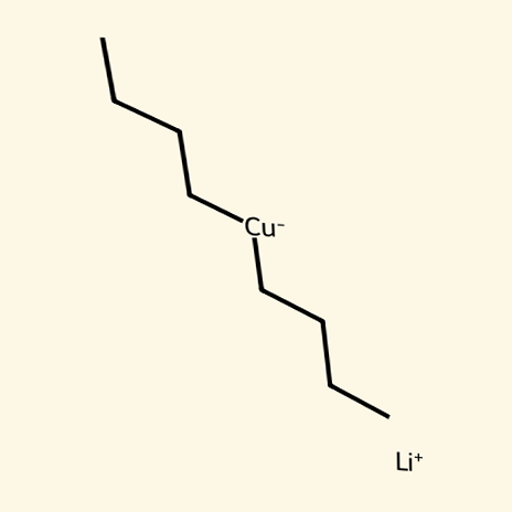 CCC[CH2][Cu-][CH2]CCC.[Li+]